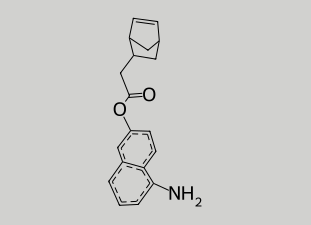 Nc1cccc2cc(OC(=O)CC3CC4C=CC3C4)ccc12